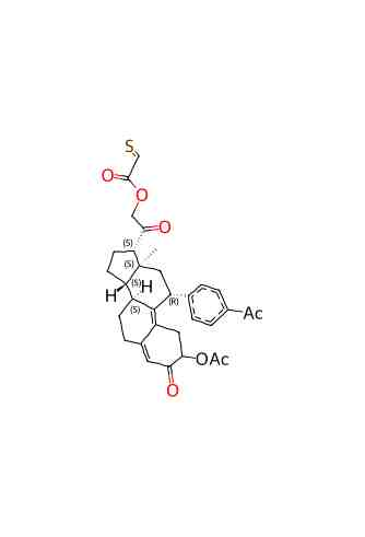 CC(=O)OC1CC2=C3[C@@H](CCC2=CC1=O)[C@@H]1CC[C@H](C(=O)COC(=O)C=S)[C@@]1(C)C[C@@H]3c1ccc(C(C)=O)cc1